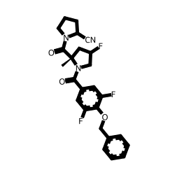 C[C@@]1(C(=O)N2CCCC2C#N)CC(F)CN1C(=O)c1cc(F)c(OCc2ccccc2)c(F)c1